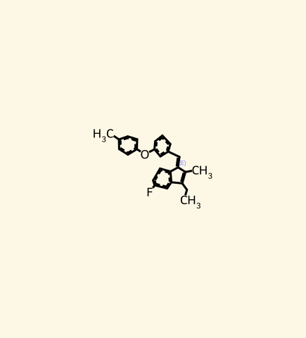 CCC1=C(C)/C(=C/c2cccc(Oc3ccc(C)cc3)c2)c2ccc(F)cc21